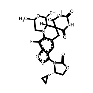 C[C@@H]1CN2c3c(cc4c(N5C(=O)OC[C@@H]5C5CC5)noc4c3F)CC3(C(=O)NC(=O)NC3=O)[C@H]2[C@H](C)O1